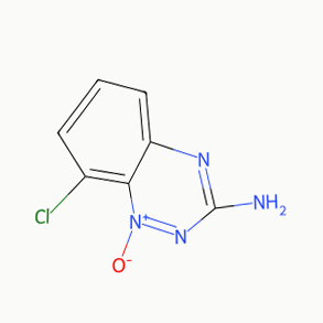 Nc1nc2cccc(Cl)c2[n+]([O-])n1